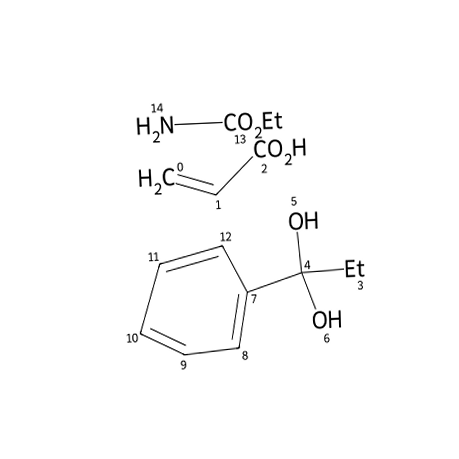 C=CC(=O)O.CCC(O)(O)c1ccccc1.CCOC(N)=O